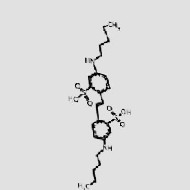 CCCCCNc1ccc(C=Cc2ccc(NCCCCC)cc2S(=O)(=O)O)c(S(=O)(=O)O)c1